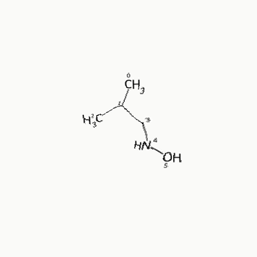 CC(C)CNO